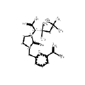 C=C(C)c1cccc(CN2CCN([C@H](C(=O)O)C(C)(C)CC(C)(C)C)C2=O)n1